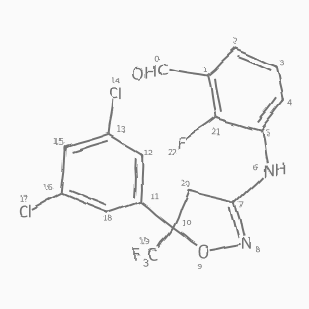 O=Cc1cccc(NC2=NOC(c3cc(Cl)cc(Cl)c3)(C(F)(F)F)C2)c1F